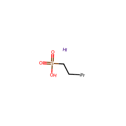 CC(C)CCS(=O)(=O)O.I